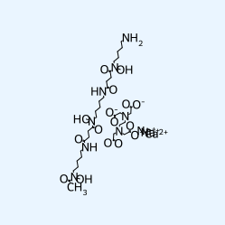 CC(=O)N(O)CCCCCNC(=O)CCC(=O)N(O)CCCCCNC(=O)CCC(=O)N(O)CCCCCN.O=C([O-])CN(CCN(CC(=O)[O-])CC(=O)[O-])CC(=O)[O-].[Ca+2].[Na+].[Na+]